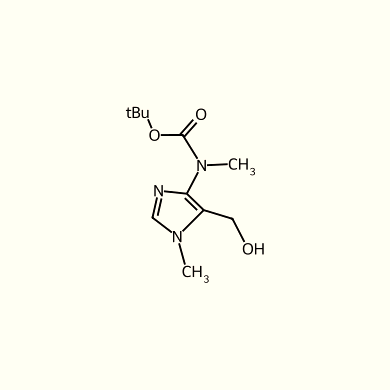 CN(C(=O)OC(C)(C)C)c1ncn(C)c1CO